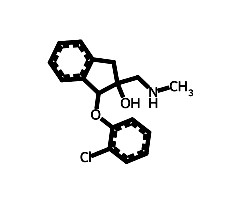 CNCC1(O)Cc2ccccc2C1Oc1ccccc1Cl